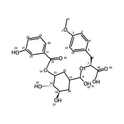 COc1ccc(C[C@H](OC(O)C2CC(OC(=O)c3cccc(O)c3)[C@@H](O)[C@H](O)C2)C(=O)O)cc1